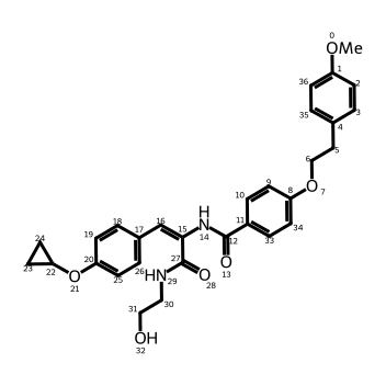 COc1ccc(CCOc2ccc(C(=O)NC(=Cc3ccc(OC4CC4)cc3)C(=O)NCCO)cc2)cc1